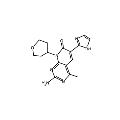 Cc1nc(N)nc2c1cc(-c1ncc[nH]1)c(=O)n2C1CCOCC1